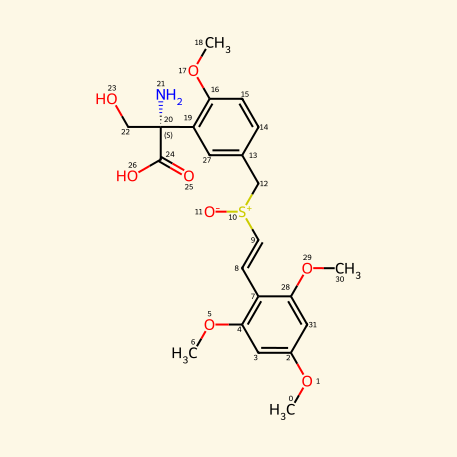 COc1cc(OC)c(C=C[S+]([O-])Cc2ccc(OC)c([C@](N)(CO)C(=O)O)c2)c(OC)c1